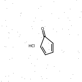 Cl.O=C1C=CC=C1